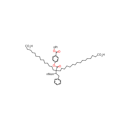 CCCCCCCCCC(Cc1ccccc1)C(CCCCCCCCCCCCCCCC(=O)O)(CCCCCCCCCCCCCC(=O)O)C(=O)Oc1ccc(C(=O)OCCC)cc1